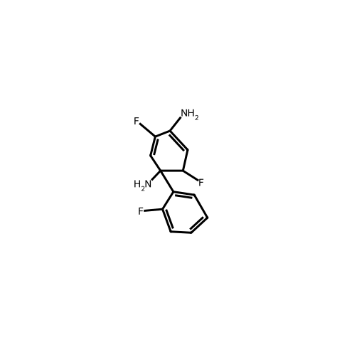 NC1=CC(F)C(N)(c2ccccc2F)C=C1F